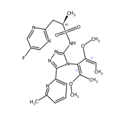 C/C=C(OC)\C(=C(/C)OC)n1c(NS(=O)(=O)[C@H](C)Cc2ncc(F)cn2)nnc1-c1cccc(C)n1